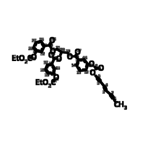 CC#CC#CC#COC(=O)Oc1cccc(C(=O)OCC(COC(=O)c2cccc(OC(=O)OCC)c2)OC(=O)c2cccc(OC(=O)OCC)c2)c1